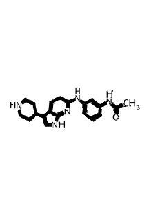 CC(=O)Nc1cccc(NC2CC=c3c(C4CCNCC4)c[nH]c3=N2)c1